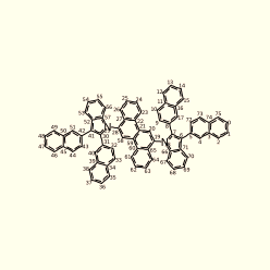 c1ccc2cc(-c3c(-c4ccc5ccccc5c4)n(-c4cc5c6ccccc6c(-n6c(-c7ccc8ccccc8c7)c(-c7ccc8ccccc8c7)c7ccccc76)cc5c5ccccc45)c4ccccc34)ccc2c1